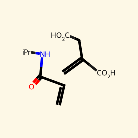 C=C(CC(=O)O)C(=O)O.C=CC(=O)NC(C)C